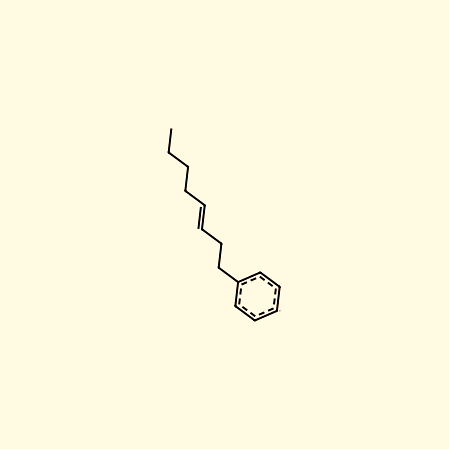 CCCCC=CCCc1cc[c]cc1